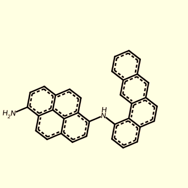 Nc1ccc2ccc3c(Nc4cccc5ccc6cc7ccccc7cc6c45)ccc4ccc1c2c43